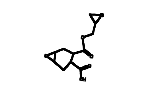 O=C(O)C1CC2OC2CC1C(=O)OCC1CO1